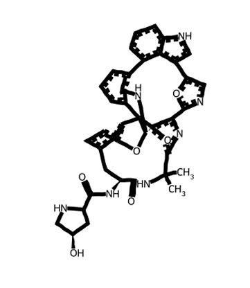 CC1(C)NC(=O)[C@@H](NC(=O)C2C[C@@H](O)CN2)Cc2ccc3c(c2)C24c5cccc(c5NC2O3)-c2cccc3[nH]cc(c23)-c2cnc(o2)-c2nc1oc24